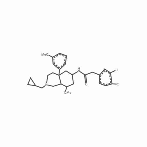 COc1cccc(C23CCN(CC4CC4)CC2C(OC)CC(NC(=O)Cc2ccc(Cl)c(Cl)c2)C3)c1